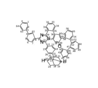 c1ccc(-c2cccc(-c3nc(-c4ccc(C56CC7C[C@H](C5)C[C@@H](C7)C6)cc4)nc(-c4ccccc4-c4ccc5oc6ccccc6c6ccccc6c6ccccc6c5c4)n3)c2)cc1